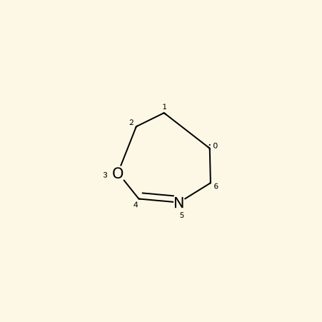 [CH]1CCOC=NC1